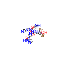 N[C@@H](Cc1cc(Br)c(O)c(Br)c1)C(=O)N(C(=O)N1CCC(n2c(=O)[nH]c3ncccc32)CC1)[C@H](CC1CCNCC1)C(=O)N1CCN(c2ccncc2)CC1